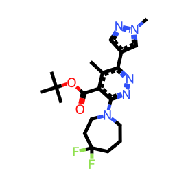 Cc1c(-c2cnn(C)c2)nnc(N2CCCC(F)(F)CC2)c1C(=O)OC(C)(C)C